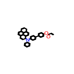 C=CC(=O)Oc1ccc(-c2ccc(N(c3ccccc3)C3C=Cc4ccc5c6c(ccc3c46)CC=C5)cc2)cc1